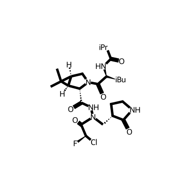 CC[C@H](C)[C@H](NC(=O)C(C)C)C(=O)N1C[C@H]2[C@@H]([C@H]1C(=O)NN(C[C@@H]1CCNC1=O)C(=O)[C@H](F)Cl)C2(C)C